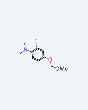 COCOc1ccc(N(C)C)c(F)c1